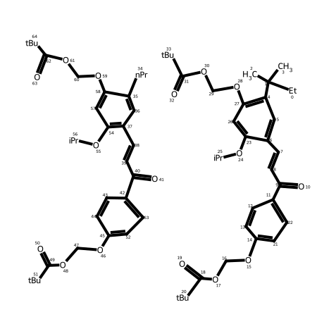 CCC(C)(C)c1cc(/C=C/C(=O)c2ccc(OCOC(=O)C(C)(C)C)cc2)c(OC(C)C)cc1OCOC(=O)C(C)(C)C.CCCc1cc(/C=C/C(=O)c2ccc(OCOC(=O)C(C)(C)C)cc2)c(OC(C)C)cc1OCOC(=O)C(C)(C)C